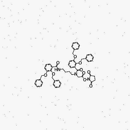 O=C(CN(CCCCNC(=O)c1cccc(OCc2ccccc2)c1OCc1ccccc1)C(=O)c1cccc(OCc2ccccc2)c1OCc1ccccc1)ON1C(=O)CCC1=O